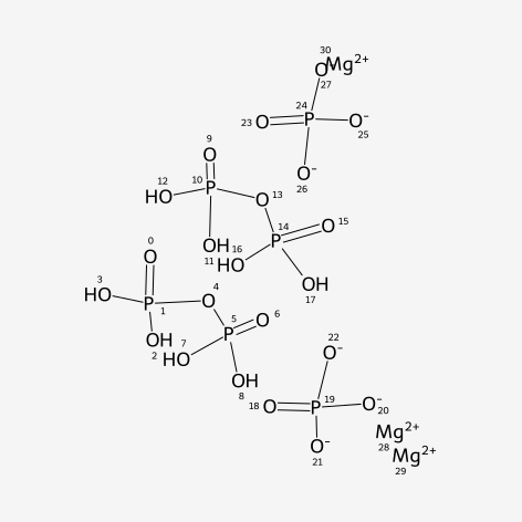 O=P(O)(O)OP(=O)(O)O.O=P(O)(O)OP(=O)(O)O.O=P([O-])([O-])[O-].O=P([O-])([O-])[O-].[Mg+2].[Mg+2].[Mg+2]